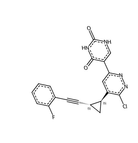 O=c1[nH]cc(-c2cc([C@H]3C[C@@H]3C#Cc3ccccc3F)c(Cl)nn2)c(=O)[nH]1